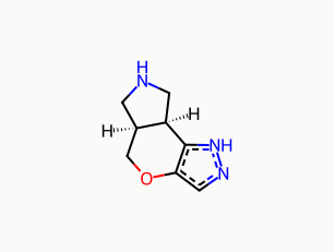 c1n[nH]c2c1OC[C@H]1CNC[C@@H]21